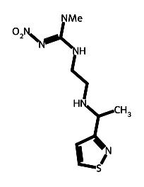 CNC(=N[N+](=O)[O-])NCCNC(C)c1ccsn1